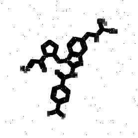 C=CC(=O)N1CCCC1Cn1c(NC(=O)c2ccc(C(F)F)cc2)nc2cc(CN[C@@H](C)C(C)(C)C)ccc21